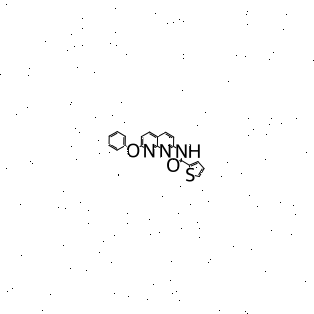 O=C(Nc1ccc2ccc(Oc3ccccc3)nc2n1)c1cccs1